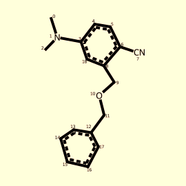 CN(C)c1ccc(C#N)c(COCc2ccccc2)c1